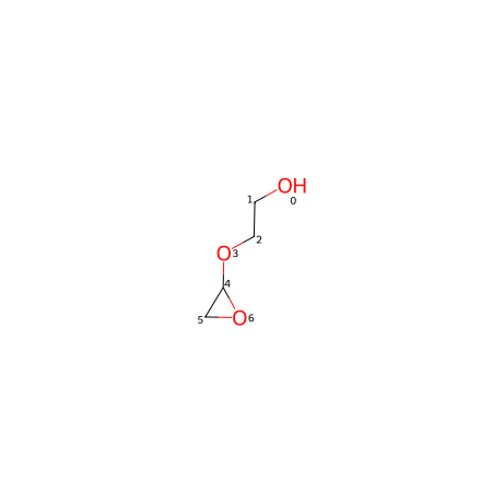 OCCOC1CO1